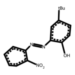 CC(C)(C)c1ccc(O)c(N=Nc2ccccc2[N+](=O)[O-])c1